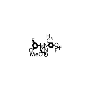 COc1cn(Cc2cc(F)cc(Cl)c2)c(Nc2ccc(OC(F)F)cc2C)nc1=O